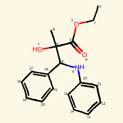 CCOC(=O)C(C)(O)C(Nc1ccccc1)c1ccccc1